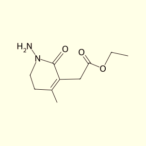 CCOC(=O)CC1=C(C)CCN(N)C1=O